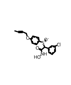 CC#CCOc1ccc([S+]([O-])C(C(=O)NO)c2cccc(Cl)c2)cc1